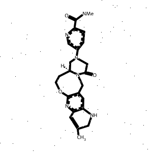 CNC(=O)c1ccc(N2CC(=O)N3Cc4cc5c(nc4OCC[C@H]3C2)C=C(C)CN5)cn1